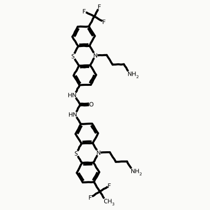 CC(F)(F)c1ccc2c(c1)N(CCCN)c1ccc(NC(=O)Nc3ccc4c(c3)Sc3ccc(C(F)(F)F)cc3N4CCCN)cc1S2